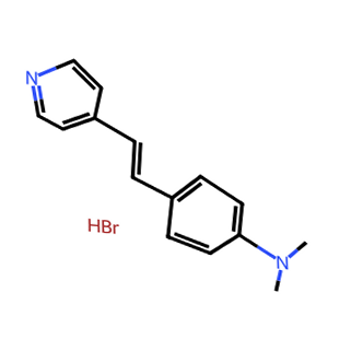 Br.CN(C)c1ccc(C=Cc2ccncc2)cc1